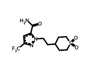 NC(=O)c1cc(C(F)(F)F)nn1CCC1CCS(=O)(=O)CC1